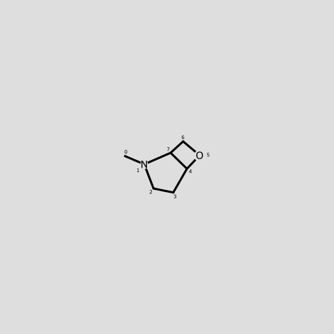 CN1CCC2OCC21